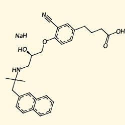 CC(C)(Cc1ccc2ccccc2c1)NC[C@@H](O)COc1ccc(CCCC(=O)O)cc1C#N.[NaH]